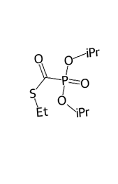 CCSC(=O)P(=O)(OC(C)C)OC(C)C